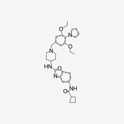 CCOc1cc(CN2CCC(Nc3nc4cc(NC(=O)C5CCC5)ccc4o3)CC2)cc(OCC)c1-n1cccc1